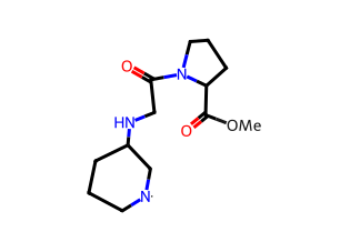 COC(=O)C1CCCN1C(=O)CNC1CCC[N]C1